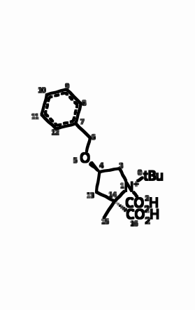 CC(C)(C)[N+]1(C(=O)O)C[C@H](OCc2ccccc2)C[C@@]1(C)C(=O)O